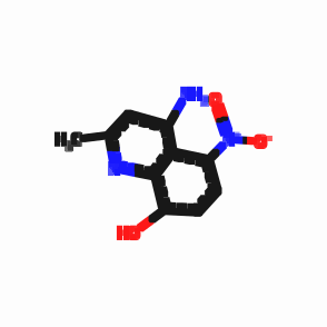 Cc1cc(N)c2c([N+](=O)[O-])ccc(O)c2n1